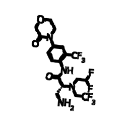 NC[C@H](C(=O)Nc1ccc(N2CCOCC2=O)cc1C(F)(F)F)N(CC(F)F)CC(F)(F)F